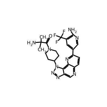 CC(C)(N)C(=O)N1CCC(n2nnc3cnc4ccc(-c5cnc(N)c(C(F)(F)F)c5)nc4c32)CC1